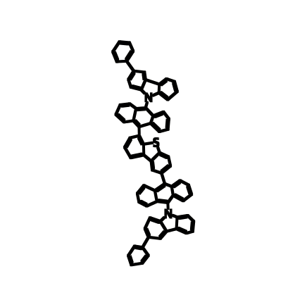 c1ccc(-c2ccc3c(c2)c2ccccc2n3-c2c3ccccc3c(-c3ccc4sc5c(-c6c7ccccc7c(-n7c8ccccc8c8cc(-c9ccccc9)ccc87)c7ccccc67)cccc5c4c3)c3ccccc23)cc1